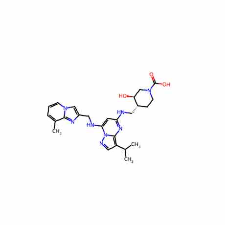 Cc1cccn2cc(CNc3cc(NC[C@H]4CCN(C(=O)O)C[C@@H]4O)nc4c(C(C)C)cnn34)nc12